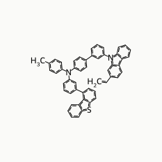 C=Cc1ccc2c3ccccc3n(-c3cccc(-c4ccc(N(c5ccc(C)cc5)c5cccc(-c6cccc7sc8ccccc8c67)c5)cc4)c3)c2c1